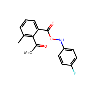 COC(=O)c1c(C)cccc1C(=O)ONc1ccc(F)cc1